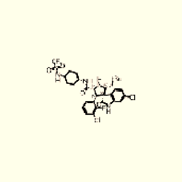 CC(C)(C)C[C@H]1N[C@@H](C(=O)N[C@H]2CC[C@H](NS(=O)(=O)C(F)(F)F)CC2)[C@H](c2cccc(Cl)c2F)[C@@]12C(=O)Nc1cc(Cl)ccc12